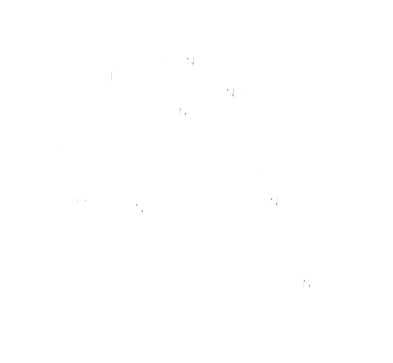 CC(C)N1CCOc2c(F)cc(-c3nc(Nc4ccc(N5CCC(N(C)C)CC5)c5c4CCC5)ncc3F)cc21